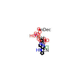 CCCCCCCCCCC(=O)OCOP(=O)(O)CS(=O)(=O)C[C@H]1O[C@@H](n2ccc3c(NC4CCCC4)c(C#N)c(Cl)nc32)[C@@H]2OC(=O)O[C@@H]21